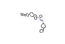 COc1ccc2cc(C(=O)/C=C/c3ccc(Cl)cc3)oc2c1